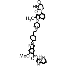 COc1cc2nn(C3CCC(CCN4CCC(n5c(C)cc6c(N7CCC(=O)NC7=O)cccc65)CC4)CC3)cc2cc1C(=O)Nc1cnc2cccnn12